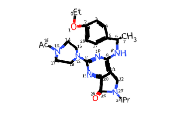 CCOc1ccc([C@@H](C)Nc2nc(N3CCN(C(C)=O)CC3)nc3c2CN(C(C)C)C3=O)cc1